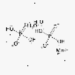 O.O.O=P([O-])(O)O.O=P([O-])(O)O.[Mn+2]